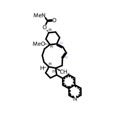 CNC(=O)O[C@@H]1CC/C2=C/C=C/C[C@]3(C)C(c4ccc5ccncc5c4)CC[C@H]3CCC[C@@]2(OC)C1